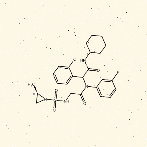 C[C@@H]1CN1S(=O)(=O)NCC(=O)N(c1cccc(F)c1)C(C(=O)NC1CCCCC1)c1ccccc1Cl